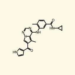 Cc1ccc(C(=O)NC2CC2)cc1Nc1ncnn2cc(C(=O)c3cc[nH]c3)c(C)c12